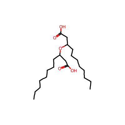 CCCCCCCCC(CC(=O)O)OC(CCCCCCCC)CC(=O)O